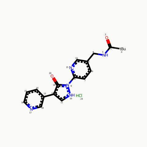 CC(C)(C)C(=O)NCc1ccc(-n2[nH]cc(-c3cccnc3)c2=O)nc1.Cl